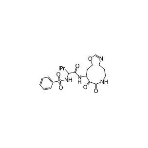 CC(C)C(NS(=O)(=O)c1ccccc1)C(=O)NC1Cc2ocnc2CCNC(=O)C1=O